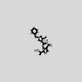 C=C(O)c1ncc2c(=O)[nH]c(C3CN(Cc4ccccc4)CC3C)nn12